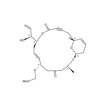 C=C[C@H](O)[C@@H]1C/C=C/[C@@H](OCOC)CC(=C)C[C@H](C)C[C@@H]2CC=C[C@@H](CC#CC(=O)O1)O2